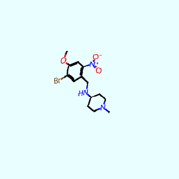 COc1cc([N+](=O)[O-])c(CNC2CCN(C)CC2)cc1Br